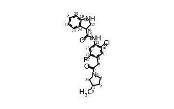 C[C@@H]1CCN(C(=O)Cc2cc(Cl)c(NC(=O)C3CNc4ccccc43)cc2F)C1